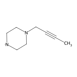 CC#CCN1CC[N]CC1